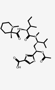 CCC(C)[C@H](NC(=O)[C@]1(C)CCCCN1C)C(=O)N(C)[C@H](C[C@@H](OC(C)=O)c1nc(C(=O)O)cs1)C(C)C